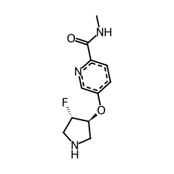 CNC(=O)c1ccc(O[C@H]2CNC[C@@H]2F)cn1